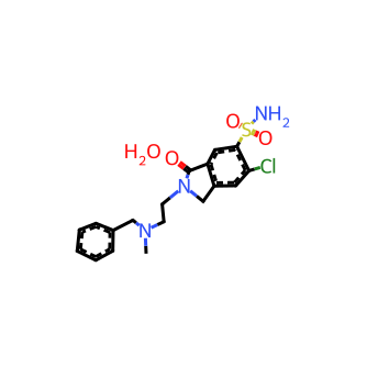 CN(CCN1Cc2cc(Cl)c(S(N)(=O)=O)cc2C1=O)Cc1ccccc1.O